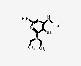 CCN(CC)c1nc(N)nc(NC)c1N